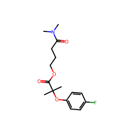 CN(C)C(=O)CCCOC(=O)C(C)(C)Oc1ccc(F)cc1